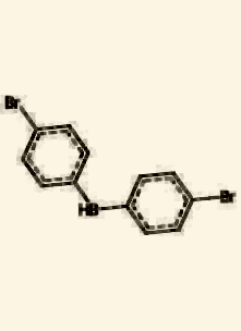 Brc1ccc(Bc2ccc(Br)cc2)cc1